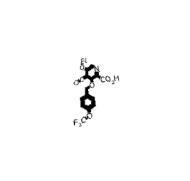 CCOC1=CN=C(C(=O)O)C(OCc2ccc(OC(F)(F)F)cc2)C1=C=O